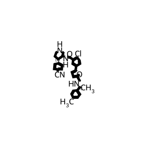 Cc1ccc([C@@H](C)NCc2ccc(-c3ccc(Cl)c(C(=O)N[C@H]4CNCC[C@H]4c4ccc(C#N)cc4)c3)o2)cc1